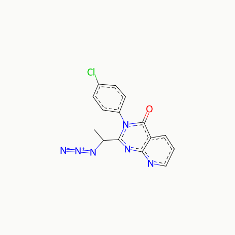 CC(N=[N+]=[N-])c1nc2ncccc2c(=O)n1-c1ccc(Cl)cc1